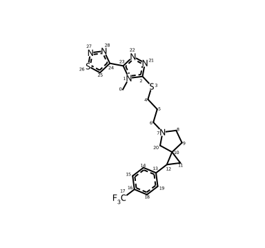 Cn1c(SCCCN2CCC3(CC3c3ccc(C(F)(F)F)cc3)C2)nnc1-c1csnn1